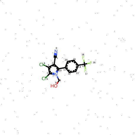 N#Cc1c(Cl)c(Cl)n(CO)c1-c1ccc(C(F)(F)F)cc1